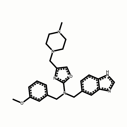 COc1cccc(CN(Cc2ccc3[nH]cnc3c2)c2nc(CN3CCN(C)CC3)co2)c1